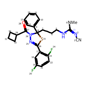 CN/C(=N/C#N)NCCCC1(c2ccccc2)SC(c2cc(F)ccc2F)=NN1C(=O)C1CCC1